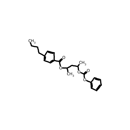 CCCCc1ccc(C(=O)OC(C)CC(C)OC(=O)Oc2ccccc2)cc1